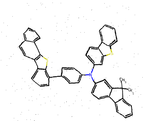 CC1(C)c2ccccc2-c2ccc(N(c3ccc(-c4cccc5c4sc4c6ccccc6ccc54)cc3)c3ccc4c(c3)sc3ccccc34)cc21